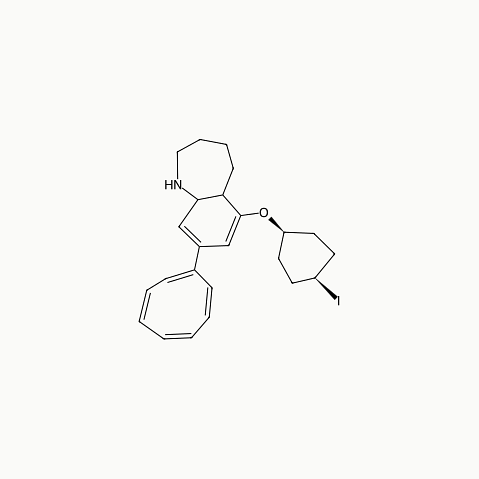 I[C@H]1CC[C@@H](OC2=CC(C3=C/C=C\C=C/C=C\3)=CC3NCCCCC23)CC1